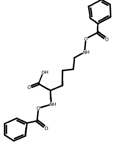 O=C(ONCCCCC(NOC(=O)c1ccccc1)C(=O)O)c1ccccc1